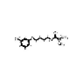 CN(C)C(=O)SCCCCOc1cccc(Cl)c1